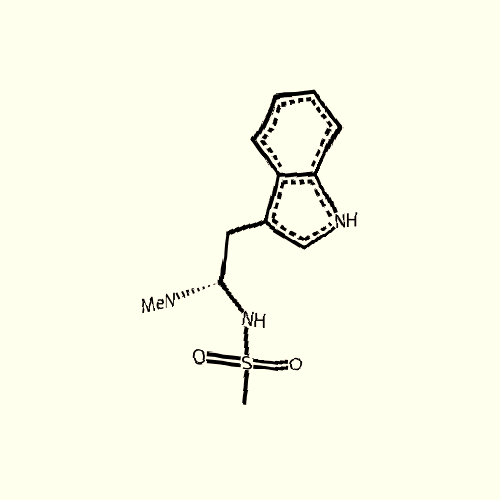 CN[C@H](Cc1c[nH]c2ccccc12)NS(C)(=O)=O